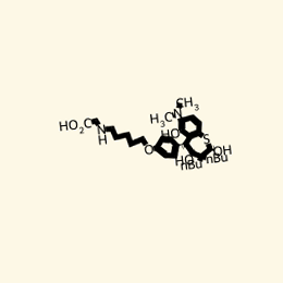 CCCCC1(CCCC)[C@H](O)[C@H](c2ccc(OCCCCCNCC(=O)O)cc2)c2c(ccc(N(C)C)c2O)S[C@@H]1O